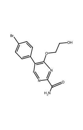 NC(=O)c1n[c]c(-c2ccc(Br)cc2)c(OCCO)n1